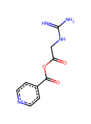 N=C(N)NCC(=O)OC(=O)c1ccncc1